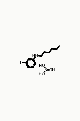 CCCCCCNc1cccc(F)c1.OB(O)O